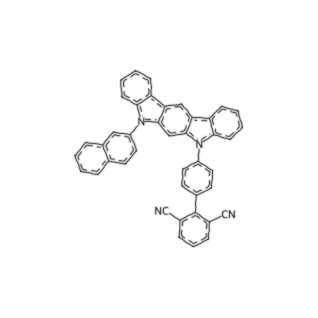 N#Cc1cccc(C#N)c1-c1ccc(-n2c3ccccc3c3cc4c5ccccc5n(-c5ccc6ccccc6c5)c4cc32)cc1